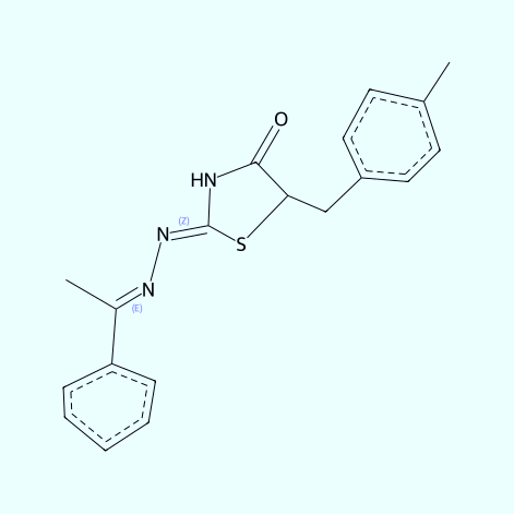 C/C(=N\N=C1\NC(=O)C(Cc2ccc(C)cc2)S1)c1ccccc1